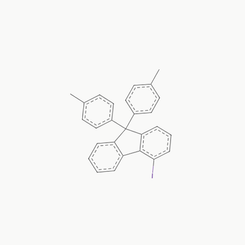 Cc1ccc(C2(c3ccc(C)cc3)c3ccccc3-c3c(I)cccc32)cc1